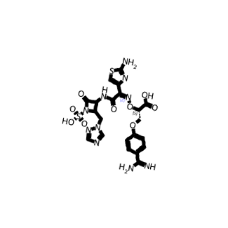 N=C(N)c1ccc(OC[C@H](O/N=C(\C(=O)NC2C(=O)N(S(=O)(=O)O)C2Cn2cncn2)c2csc(N)n2)C(=O)O)cc1